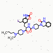 CCCCN(CC)C1CCN(C(=O)[C@@H](Cc2cc3oc(=O)[nH]c3cc2CI)NC(=O)N2CCC(N3Cc4ccccc4NC3=O)CC2)CC1